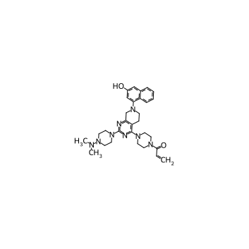 C=CC(=O)N1CCN(c2nc(N3CCN(N(C)C)CC3)nc3c2CCN(c2cc(O)cc4ccccc24)C3)CC1